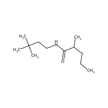 CCSC(C)C(=O)NCCC(C)(C)C